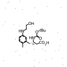 Cc1ccc(NCCO)cc1C[C@@H](CC(=O)O)NC(=O)OC(C)(C)C